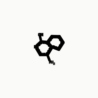 Oc1ncc(P)c2ccccc12